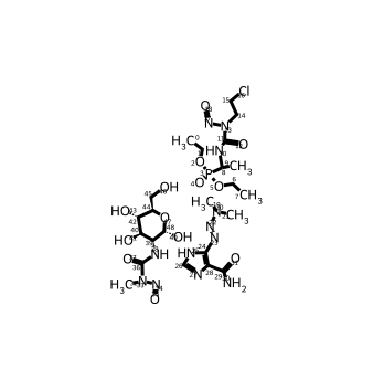 CCOP(=O)(OCC)C(C)NC(=O)N(CCCl)N=O.CN(C)/N=N/c1[nH]cnc1C(N)=O.CN(N=O)C(=O)N[C@@H]1[C@@H](O)[C@H](O)[C@@H](CO)O[C@@H]1O